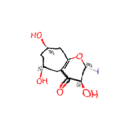 O=C1C2=C(C[C@H](O)C[C@@H]2O)O[C@H](I)[C@H]1O